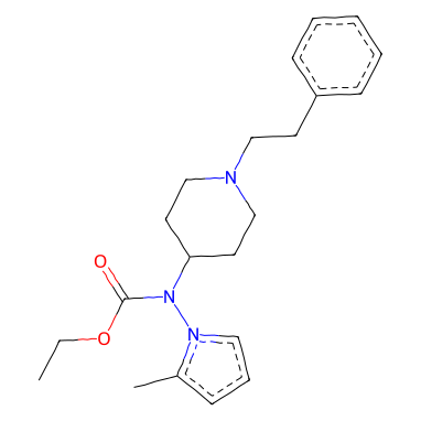 CCOC(=O)N(C1CCN(CCc2ccccc2)CC1)n1cccc1C